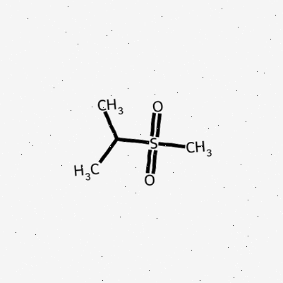 CC(C)S(C)(=O)=O